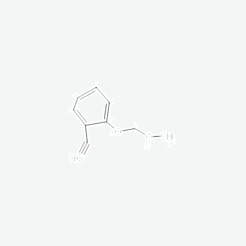 C#Cc1ccccc1OCOC